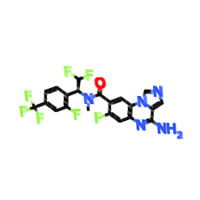 CN(C(=O)c1cc2c(cc1F)nc(N)c1cncn12)[C@@H](c1ccc(C(F)(F)F)cc1F)C(F)F